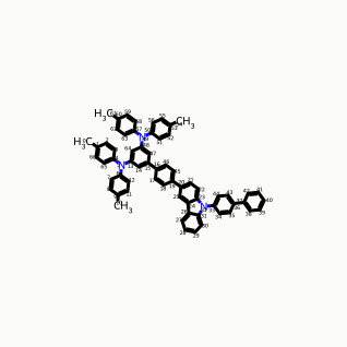 Cc1ccc(N(c2ccc(C)cc2)c2cc(-c3ccc(-c4ccc5c(c4)c4ccccc4n5-c4ccc(-c5ccccc5)cc4)cc3)cc(N(c3ccc(C)cc3)c3ccc(C)cc3)c2)cc1